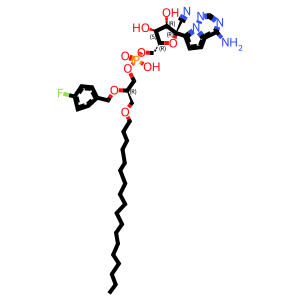 CCCCCCCCCCCCCCCCCCOC[C@H](COP(=O)(O)OC[C@H]1O[C@@](C#N)(c2ccc3c(N)ncnn23)[C@H](O)[C@@H]1O)OCc1ccc(F)cc1